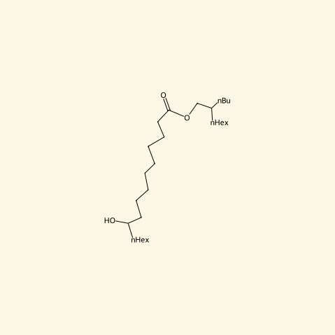 CCCCCCC(O)CCCCCCCCC(=O)OCC(CCCC)CCCCCC